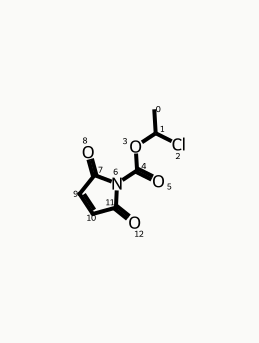 CC(Cl)OC(=O)N1C(=O)C=CC1=O